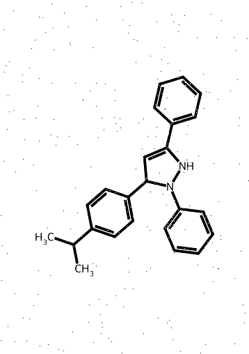 CC(C)c1ccc(C2C=C(c3ccccc3)NN2c2ccccc2)cc1